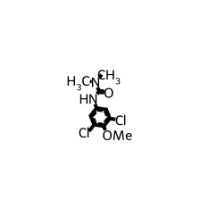 COc1c(Cl)cc(NC(=O)N(C)C)cc1Cl